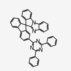 c1ccc(-c2nc(-c3ccccc3)nc(-c3ccc4c(c3)C3(c5ccccc5-4)c4ccccc4-n4c3nc3ccccc34)n2)cc1